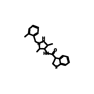 Cc1ccccc1CN1NC(C)C(NC(=O)C2CSc3ccccc32)C1C